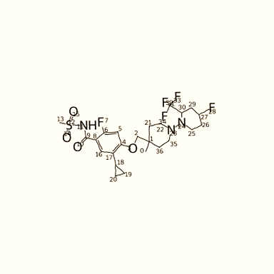 CC1(COc2cc(F)c(C(=O)NS(C)(=O)=O)cc2C2CC2)CCN(N2CCC(F)CC2C(F)(F)F)CC1